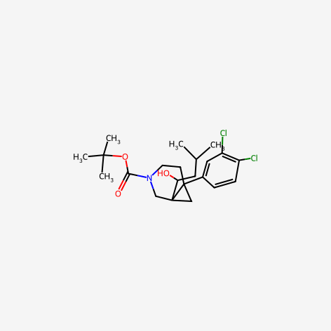 CC(C)CC(O)C12CN(C(=O)OC(C)(C)C)CCC1(c1ccc(Cl)c(Cl)c1)C2